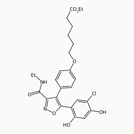 CCNC(=O)c1noc(-c2cc(Cl)c(O)cc2O)c1-c1ccc(OCCCCCC(=O)OCC)cc1